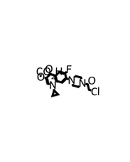 O=C(O)Oc1cn(C2CC2)c2cc(N3CCN(C(=O)CCl)CC3)c(F)cc2c1=O